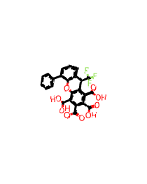 O=C(O)c1c2c(c(C(=O)O)c(C(=O)O)c1C(=O)O)C(C(F)(F)F)c1cccc(-c3ccccc3)c1O2